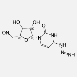 N=NNC1C=CN([C@@H]2O[C@H](CN=O)C(O)[C@@H]2O)C(=O)N1